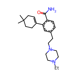 CCN1CCN(CCc2ccc(C(N)=O)c(C3=CCC(C)(C)CC3)c2)CC1